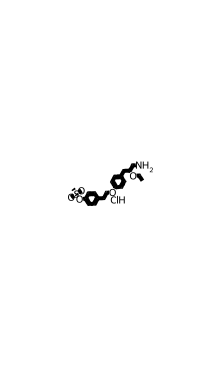 CCOC(CN)Cc1ccc(OCCc2ccc(OS(C)(=O)=O)cc2)cc1.Cl